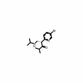 CC(C)NC[C@@H](C(=O)C(C)C)c1ccc(Br)cn1